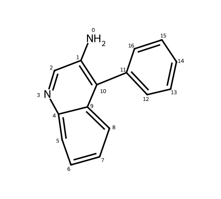 Nc1cnc2ccccc2c1-c1ccccc1